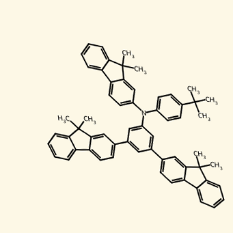 CC(C)(C)c1ccc(N(c2cc(-c3ccc4c(c3)C(C)(C)c3ccccc3-4)cc(-c3ccc4c(c3)C(C)(C)c3ccccc3-4)c2)c2ccc3c(c2)C(C)(C)c2ccccc2-3)cc1